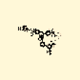 CC(C)(C)c1ccc(C(Cc2ccc(C(=O)NCCS(=O)(=O)O)cc2)c2cc(-c3cccc(-c4cc(C(F)(F)F)cc(C(F)(F)F)c4)c3)on2)cc1